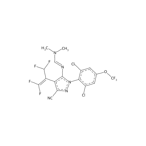 CN(C)C=Nc1c(C(=C(F)F)C(F)F)c(C#N)nn1-c1c(Cl)cc(OC(F)(F)F)cc1Cl